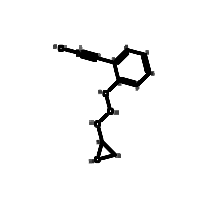 [O-][N+]#Cc1ccccc1OOOC1CO1